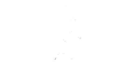 CC(=O)OC1CCc2c1ncc(N)c2N1CC[C@H](OC(C)=O)[C@@H](C)C1